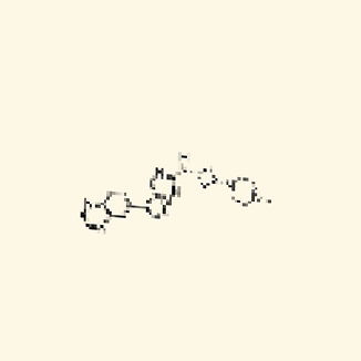 CN1CCN([C@H]2C[C@@H](Nc3ncc4c(-c5ccc6nccnc6c5)ccn4n3)C2)CC1